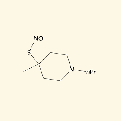 [CH2]CCN1CCC(C)(SN=O)CC1